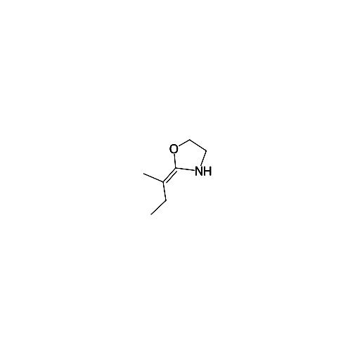 CCC(C)=C1NCCO1